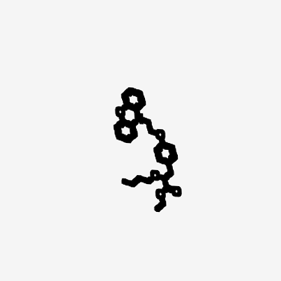 CCCCOC(Cc1ccc(OCCN2c3ccccc3Oc3ccccc32)cc1)C(=O)OCC